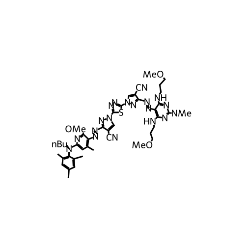 CCCCN(c1cc(C)c(N=Nc2nn(-c3nnc(-n4cc(C#N)c(N=Nc5c(NCCCOC)nc(NC)nc5NCCCOC)n4)s3)cc2C#N)c(OC)n1)c1c(C)cc(C)cc1C